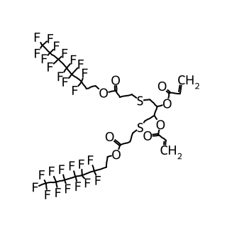 C=CC(=O)OC(CSCCC(=O)OCCC(F)(F)C(F)(F)C(F)(F)C(F)(F)C(F)(F)C(F)(F)F)C(CSCCC(=O)OCCC(F)(F)C(F)(F)C(F)(F)C(F)(F)C(F)(F)C(F)(F)F)OC(=O)C=C